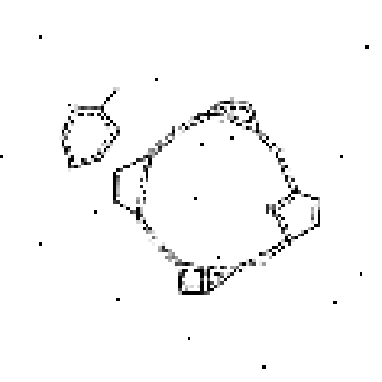 C1=Cc2cc3ccc(cc4nc(cc5ccc(cc1n2)[nH]5)C=C4)[nH]3.Cc1ccccn1